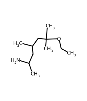 CCOC(C)(C)CC(C)CC(C)N